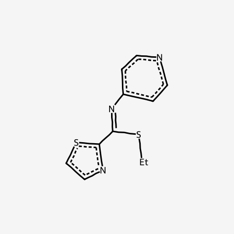 CCS/C(=N\c1ccncc1)c1nccs1